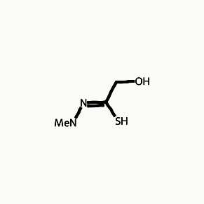 CN/N=C(\S)CO